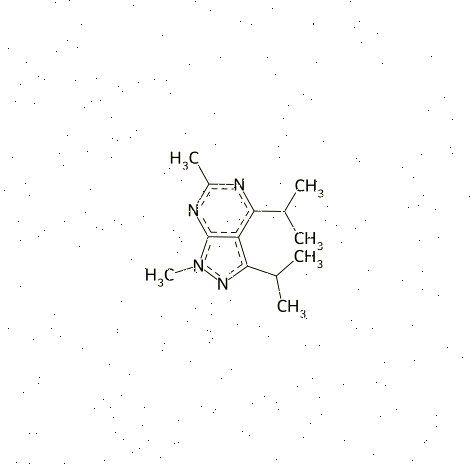 Cc1nc(C(C)C)c2c(C(C)C)nn(C)c2n1